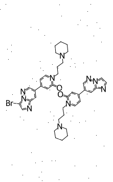 O=c1cc(-c2cnn3c(Br)cnc3c2)ccn1CCCN1CCCCC1.O=c1cc(-c2cnn3ccnc3c2)ccn1CCCN1CCCCC1